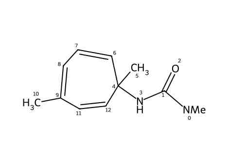 CNC(=O)NC1(C)C=CC=C(C)C=C1